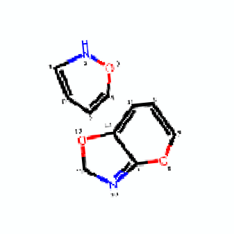 C1=CNOC=C1.C1=COC2=NCOC2=C1